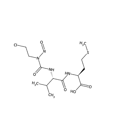 CSCC[C@H](NC(=O)[C@@H](NC(=O)N(CCCl)N=O)C(C)C)C(=O)O